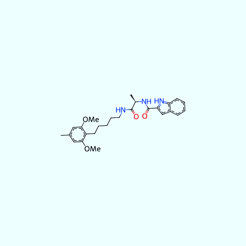 COc1cc(C)cc(OC)c1CCCCCNC(=O)[C@@H](C)NC(=O)c1cc2ccccc2[nH]1